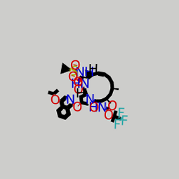 CC(C)Oc1cnc(O[C@@H]2C[C@H]3C(=O)N[C@]4(C(=O)NS(=O)(=O)C5CC5)C[C@H]4/C=C\CC[C@@H](C)C[C@@H](C)[C@H](NC(=O)OC(C)(C)C(F)(F)F)C(=O)N3C2)c2ccccc12